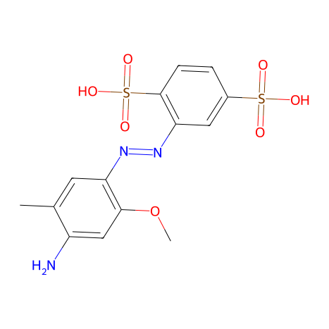 COc1cc(N)c(C)cc1N=Nc1cc(S(=O)(=O)O)ccc1S(=O)(=O)O